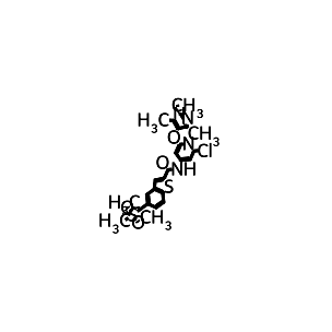 Cc1nn(C)c(C)c1Oc1cc(NC(=O)c2cc3cc(C(C)(C)S(C)(=O)=O)ccc3s2)cc(Cl)n1